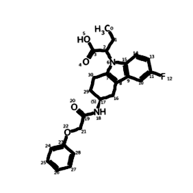 CCC(C(=O)O)n1c2c(c3cc(F)ccc31)C[C@@H](NC(=O)COc1ccccc1)CC2